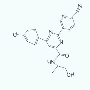 CC(CO)NC(=O)c1cc(-c2ccc(Cl)cc2)nc(-c2ccc(C#N)nc2)n1